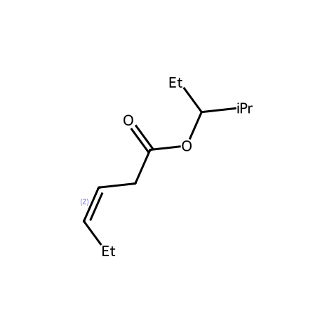 CC/C=C\CC(=O)OC(CC)C(C)C